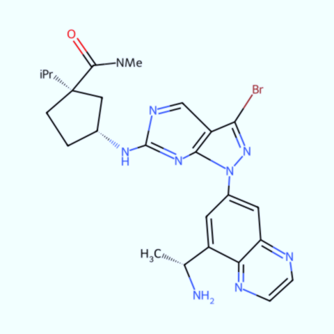 CNC(=O)[C@]1(C(C)C)CC[C@@H](Nc2ncc3c(Br)nn(-c4cc([C@@H](C)N)c5nccnc5c4)c3n2)C1